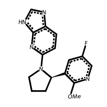 COc1ncc(F)cc1[C@H]1CCCN1c1ccc2nc[nH]c2n1